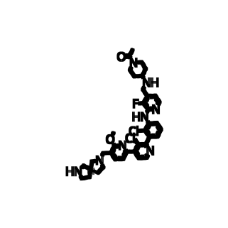 COc1nc(-c2ccnc(-c3cccc(Nc4nccc(CNC5CCN(C(C)=O)CC5)c4F)c3Cl)c2Cl)ccc1CN1CC[C@]2(CCNC2)C1